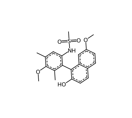 COc1ccc2ccc(O)c(-c3c(NS(C)(=O)=O)cc(C)c(OC)c3C)c2c1